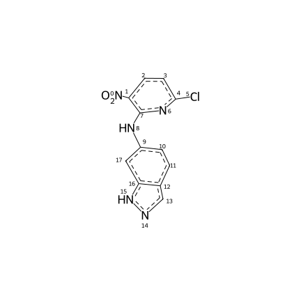 O=[N+]([O-])c1ccc(Cl)nc1Nc1ccc2cn[nH]c2c1